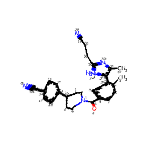 Cc1ccc(C(=O)N2CCC(c3ccc(C#N)cc3)CC2)cc1-c1[nH]c(CCC#N)nc1C